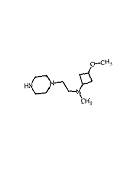 COC1CC(N(C)CCN2CCNCC2)C1